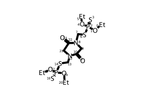 CCOP(=S)(OCC)SCN1CC(=O)N(CSP(=S)(OCC)OCC)CC1=O